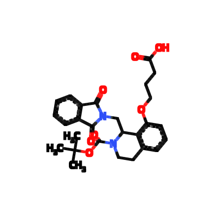 CC(C)(C)OC(=O)N1CCc2cccc(OCCCC(=O)O)c2C1CN1C(=O)c2ccccc2C1=O